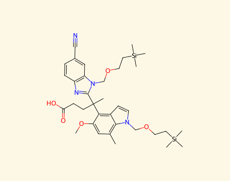 COc1cc(C)c2c(ccn2COCC[Si](C)(C)C)c1C(C)(CCC(=O)O)c1nc2ccc(C#N)cc2n1COCC[Si](C)(C)C